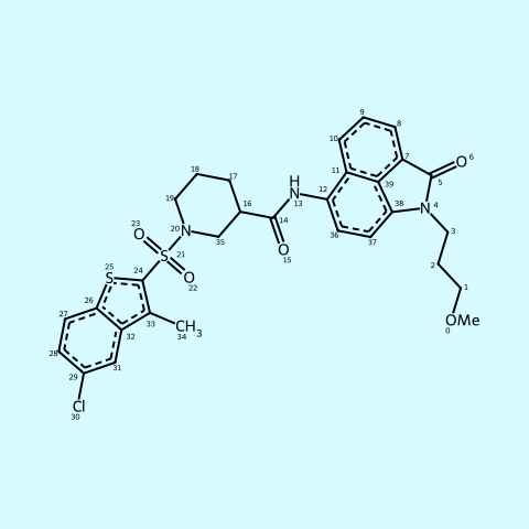 COCCCN1C(=O)c2cccc3c(NC(=O)C4CCCN(S(=O)(=O)c5sc6ccc(Cl)cc6c5C)C4)ccc1c23